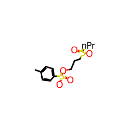 CCCS(=O)(=O)CCCOS(=O)(=O)c1ccc(C)cc1